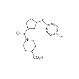 O=C(O)C1CCN(C(=O)N2CCC(Sc3ccc(F)cc3)C2)CC1